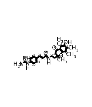 Cc1c(C)c2c(c(C)c1O)C(=O)CC(C)(CCNC(=O)C=Cc1ccc(NC(=N)N)cc1)O2